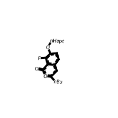 CCCCCCCOc1ccc2cc(CCCC)oc(=O)c2c1F